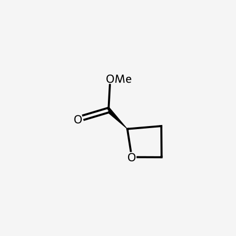 COC(=O)[C@H]1CCO1